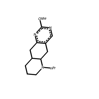 CCCN1CCCC2Cc3nc(OC)ncc3CC21